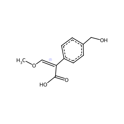 CO/C=C(\C(=O)O)c1ccc(CO)cc1